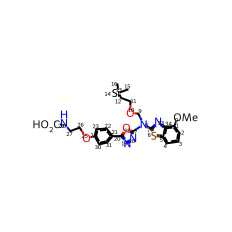 COc1cccc2sc(N(COCC[Si](C)(C)C)c3nnc(-c4ccc(OCCNC(=O)O)cc4)o3)nc12